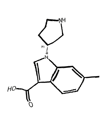 Cc1ccc2c(C(=O)O)cn([C@@H]3CCNC3)c2c1